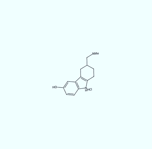 CNCC1CCc2[nH]c3ccc(O)cc3c2C1.Cl